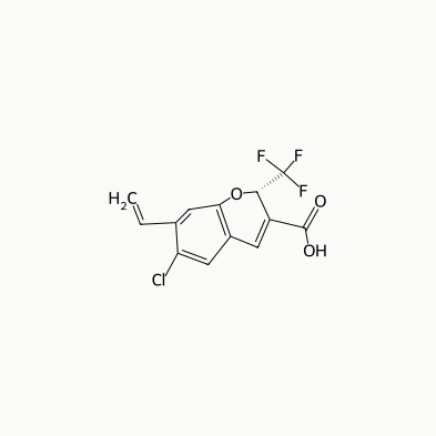 C=Cc1cc2c(cc1Cl)C=C(C(=O)O)[C@@H](C(F)(F)F)O2